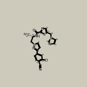 C[C@@H](Cn1ccc(-c2ccc(C#N)c(Cl)c2)n1)NC(=O)c1ncc(Cn2ccnc2)s1